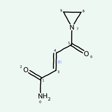 NC(=O)/C=C/C(=O)N1CC1